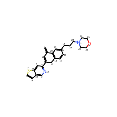 C=C1C=C(c2cc3sccc3cn2)Cc2ccc(CCCN3CCOCC3)cc21